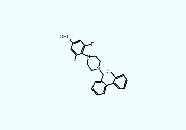 O=[C]c1cc(F)c(N2CCN(Cc3ccccc3-c3ccccc3Cl)CC2)c(F)c1